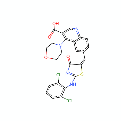 O=C1N=C(Nc2c(Cl)cccc2Cl)SC1=Cc1ccc2ncc(C(=O)O)c(N3CCOCC3)c2c1